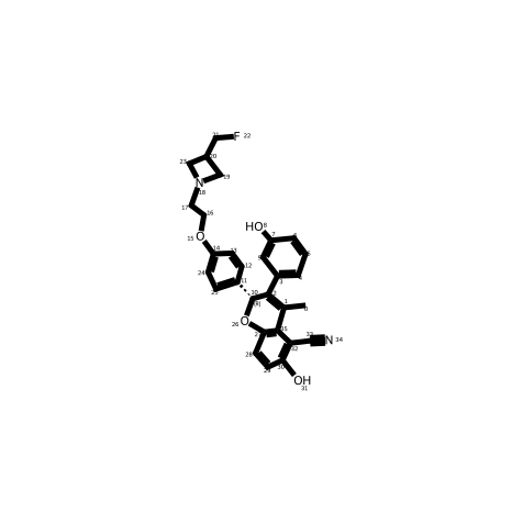 CC1=C(c2cccc(O)c2)[C@@H](c2ccc(OCCN3CC(CF)C3)cc2)Oc2ccc(O)c(C#N)c21